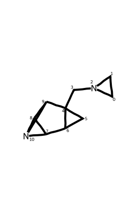 C1CN1CC12CC1C1C3C2N13